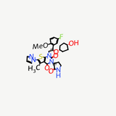 COc1ccc(F)cc1[C@H](Cn1c(=O)n([C@H]2CCNC2=O)c(=O)c2c(C)c(-n3cccn3)sc21)O[C@H]1CC[C@@H](O)CC1